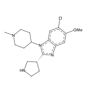 COc1cc2nc([C@@H]3CCNC3)n(C3CCN(C)CC3)c2cc1Cl